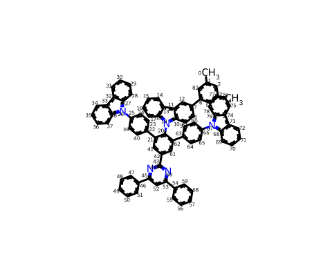 Cc1cc(C)cc(-c2ccc3c(c2)c2ccccc2n3-c2c(-c3ccc(-n4c5ccccc5c5ccccc54)cc3)cc(-c3nc(-c4ccccc4)cc(-c4ccccc4)n3)cc2-c2ccc(-n3c4ccccc4c4ccccc43)cc2)c1